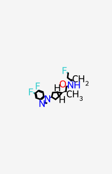 C=C(CCF)NC(=O)C(C)[C@H]1[C@@H]2C[C@@H](n3cnc4cc(F)c(F)cc43)C[C@@H]21